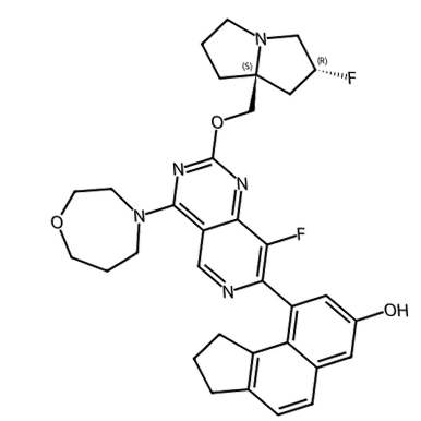 Oc1cc(-c2ncc3c(N4CCCOCC4)nc(OC[C@@]45CCCN4C[C@H](F)C5)nc3c2F)c2c3c(ccc2c1)CCC3